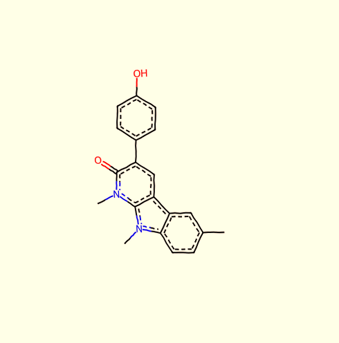 Cc1ccc2c(c1)c1cc(-c3ccc(O)cc3)c(=O)n(C)c1n2C